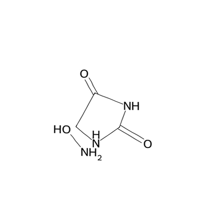 NO.O=C1CNC(=O)N1